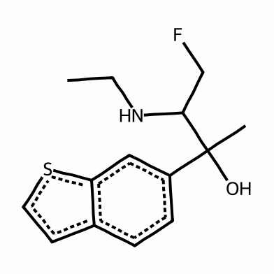 CCNC(CF)C(C)(O)c1ccc2ccsc2c1